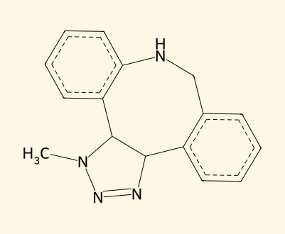 CN1N=NC2c3ccccc3CNc3ccccc3C21